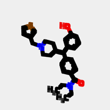 CCN(CC)C(=O)c1ccc(C(=C2CCN(Cc3ccsc3)CC2)c2cccc(O)c2)cc1